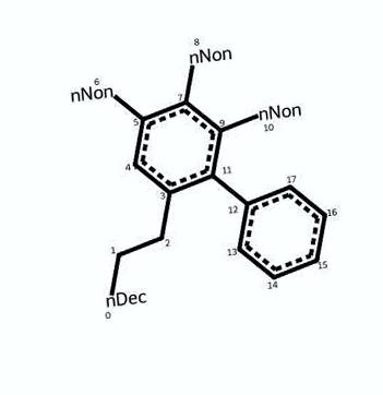 CCCCCCCCCCCCc1[c]c(CCCCCCCCC)c(CCCCCCCCC)c(CCCCCCCCC)c1-c1ccccc1